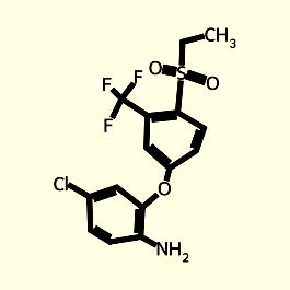 CCS(=O)(=O)c1ccc(Oc2cc(Cl)ccc2N)cc1C(F)(F)F